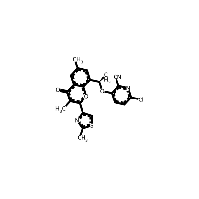 Cc1cc([C@@H](C)Oc2ccc(Cl)nc2C#N)c2oc(-c3csc(C)n3)c(C)c(=O)c2c1